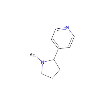 [CH2]C(=O)N1CCCC1c1ccncc1